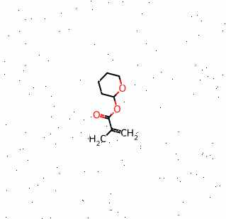 [CH2]C(=C)C(=O)OC1CCCCO1